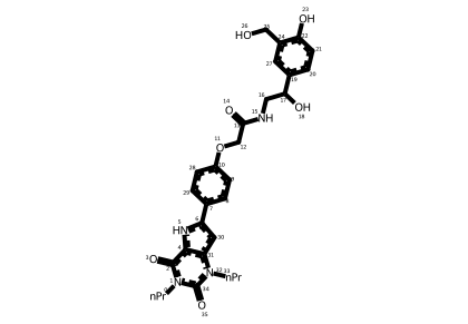 CCCn1c(=O)c2[nH]c(-c3ccc(OCC(=O)NCC(O)c4ccc(O)c(CO)c4)cc3)cc2n(CCC)c1=O